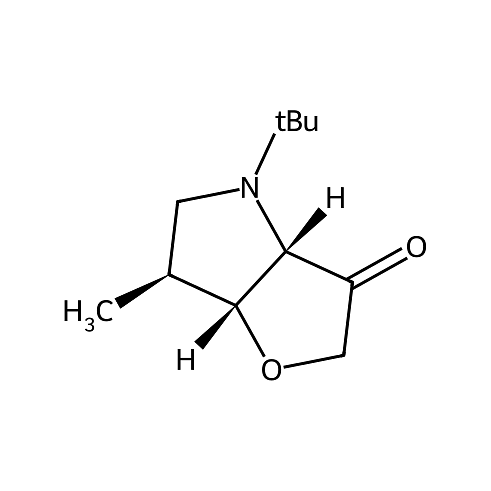 C[C@H]1CN(C(C)(C)C)[C@@H]2C(=O)CO[C@@H]21